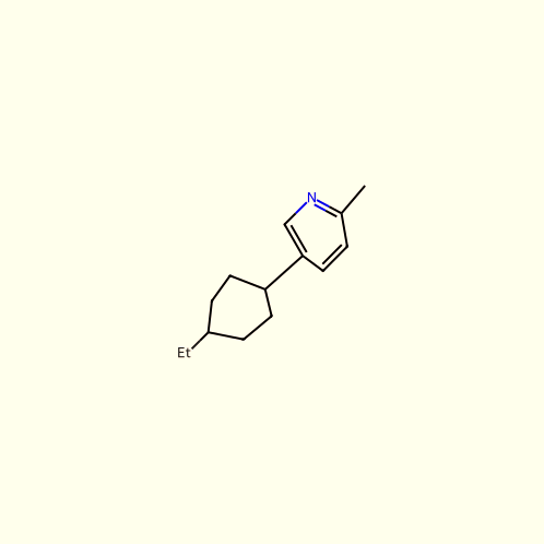 CCC1CCC(c2ccc(C)nc2)CC1